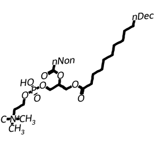 CCCCCCCCCCCCCCCCCCCC(=O)OCC(COP(=O)(O)OCC[N+](C)(C)C)OC(=O)CCCCCCCCC